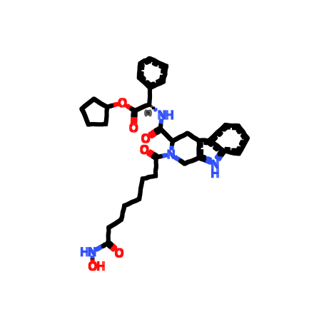 O=C(CCCCCCC(=O)N1Cc2[nH]c3ccccc3c2CC1C(=O)N[C@H](C(=O)OC1CCCC1)c1ccccc1)NO